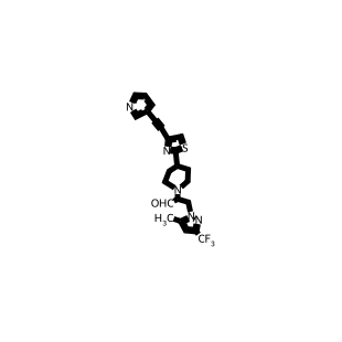 Cc1cc(C(F)(F)F)nn1CC(C=O)N1CCC(c2nc(C#Cc3cccnc3)cs2)CC1